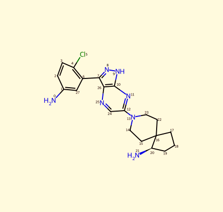 Nc1ccc(Cl)c(-c2n[nH]c3nc(N4CCC5(CCC[C@H]5N)CC4)cnc23)c1